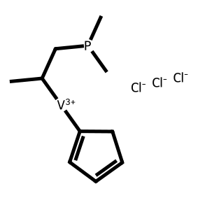 C[CH](CP(C)C)[V+3][C]1=CC=CC1.[Cl-].[Cl-].[Cl-]